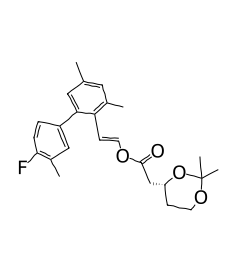 Cc1cc(C)c(C=COC(=O)C[C@H]2CCOC(C)(C)O2)c(-c2ccc(F)c(C)c2)c1